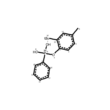 Cc1ccc(O[PH](O)(O)c2ccccc2)c(C(C)(C)C)c1